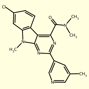 Cc1cncc(-c2nc(C(=O)N(C)C)c3c4ccc(Cl)cc4n(C)c3n2)c1